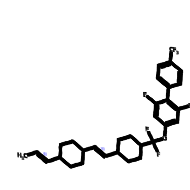 C/C=C/C1CCC(/C=C/C2CCC(C(F)(F)Oc3cc(F)c(-c4ccc(C(F)(F)F)cc4)c(F)c3)CC2)CC1